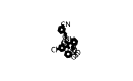 CS(=O)(=O)NC1CCCCC1N1C(=O)c2ccccc2C(C(=O)NOCc2cccc(C#N)c2)C1c1ccc(Cl)cc1Cl